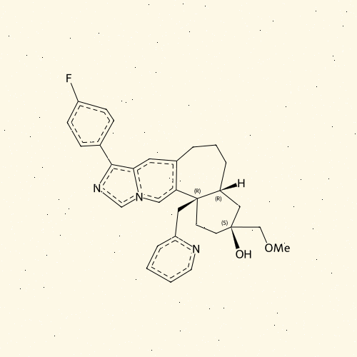 COC[C@]1(O)CC[C@]2(Cc3ccccn3)c3cn4cnc(-c5ccc(F)cc5)c4cc3CCC[C@@H]2C1